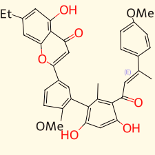 CCc1cc(O)c2c(=O)cc(-c3ccc(OC)c(-c4c(O)cc(O)c(C(=O)/C=C(\C)c5ccc(OC)cc5)c4C)c3)oc2c1